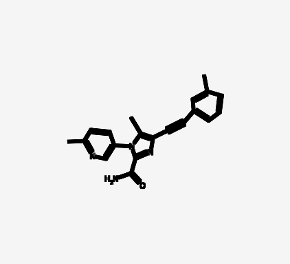 Cc1cccc(C#Cc2nc(C(N)=O)n(-c3ccc(C)nc3)c2C)c1